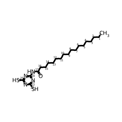 CCCCCCCCCCCCCCCCCC(=O)Nc1nc(S)nc(S)n1